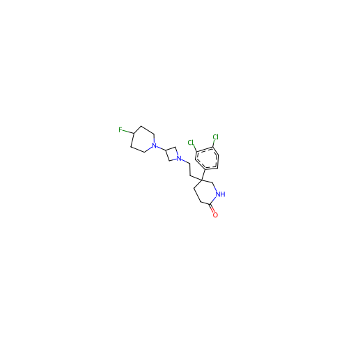 O=C1CCC(CCN2CC(N3CCC(F)CC3)C2)(c2ccc(Cl)c(Cl)c2)CN1